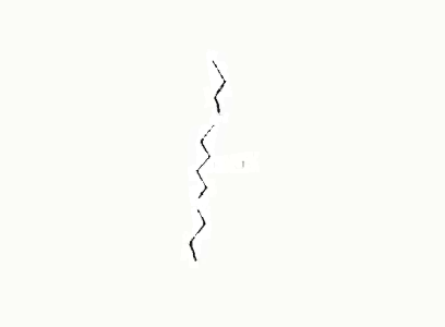 CCCOCCCCOCCC.Cl.Cl